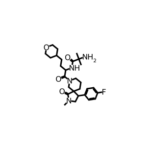 CN1CC(c2ccc(F)cc2)C2(CCCN(C(=O)C(CCC3CCOCC3)NC(=O)C(C)(C)N)C2)C1=O